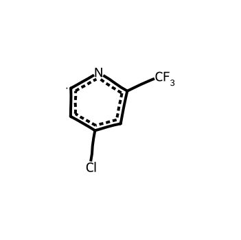 FC(F)(F)c1cc(Cl)c[c]n1